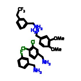 COc1ccc(CN)cc1OC.NCc1ccc(Cl)c(Cl)c1.NCc1cccc(CC(F)(F)F)c1.NCc1cccc(F)c1